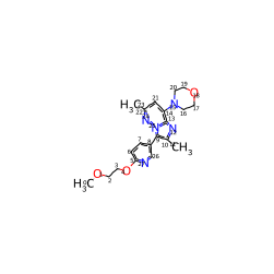 COCCOc1ccc(-c2c(C)nc3c(N4CCOCC4)cc(C)nn23)cn1